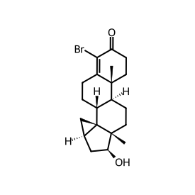 C[C@]12CCC(=O)C(Br)=C1CC[C@@H]1[C@@H]2CC[C@]2(C)[C@@H](O)C[C@H]3C[C@@]312